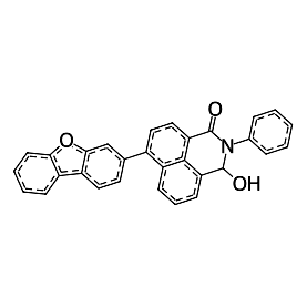 O=C1c2ccc(-c3ccc4c(c3)oc3ccccc34)c3cccc(c23)C(O)N1c1ccccc1